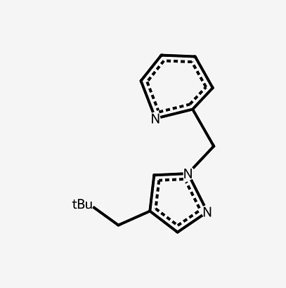 CC(C)(C)Cc1cnn(Cc2ccccn2)c1